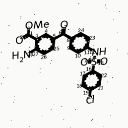 COC(=O)c1cc(C(=O)c2ccc(NS(=O)(=O)c3ccc(Cl)cc3)cc2)ccc1N